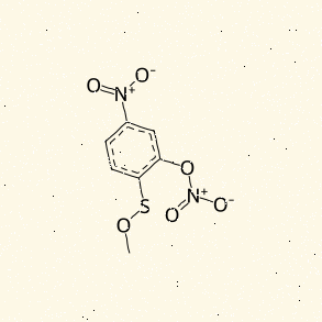 COSc1ccc([N+](=O)[O-])cc1O[N+](=O)[O-]